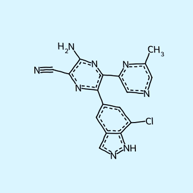 Cc1cncc(-c2nc(N)c(C#N)nc2-c2cc(Cl)c3[nH]ncc3c2)n1